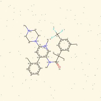 Cc1cc(C(F)(F)F)cc(C(C)(C)C(=O)N(C)c2c[n+](C)c(N3CCN(C)CC3)cc2-c2ccccc2C)c1